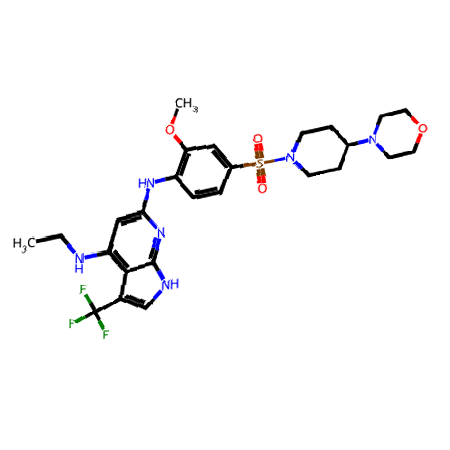 CCNc1cc(Nc2ccc(S(=O)(=O)N3CCC(N4CCOCC4)CC3)cc2OC)nc2[nH]cc(C(F)(F)F)c12